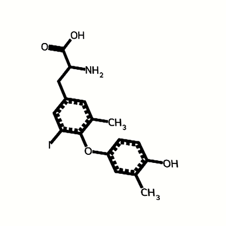 Cc1cc(Oc2c(C)cc(CC(N)C(=O)O)cc2I)ccc1O